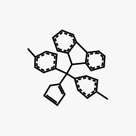 Cc1ccc(C(C2=CC=CC2)(c2ccc(C)cc2)C2c3ccccc3-c3ccccc32)cc1